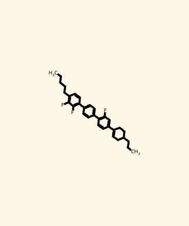 CCCCCc1ccc(-c2ccc(-c3ccc(C4=CCC(CCC)CC4)cc3F)cc2)c(F)c1F